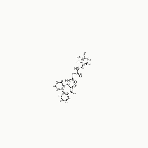 CN1C(=O)C(NC(=O)CC(=O)NCC(F)(F)C(F)(F)F)c2ccccc2-c2ccccc21